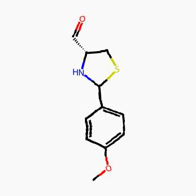 COc1ccc(C2N[C@H](C=O)CS2)cc1